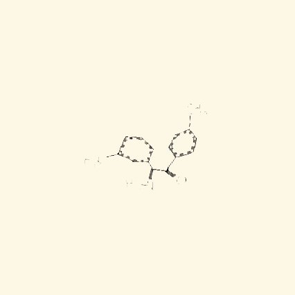 Cc1ccc(C(=O)/C(=N/O)c2cccc(C)c2)cc1